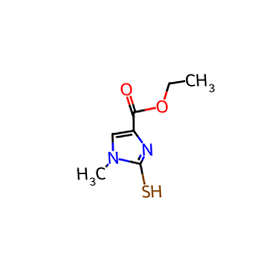 CCOC(=O)c1cn(C)c(S)n1